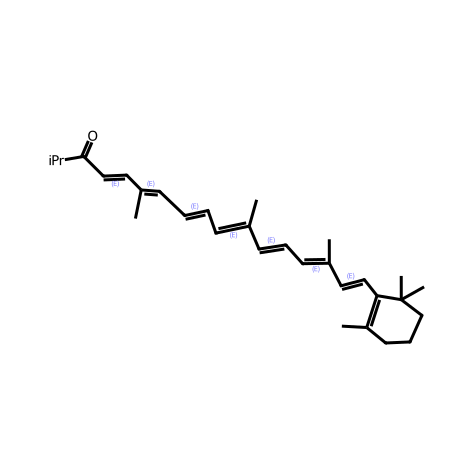 CC1=C(/C=C/C(C)=C/C=C/C(C)=C/C=C/C=C(C)/C=C/C(=O)C(C)C)C(C)(C)CCC1